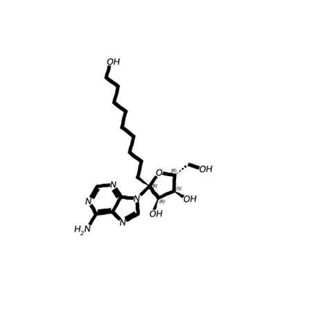 Nc1ncnc2c1ncn2[C@]1(CCCCCCCCCO)O[C@H](CO)[C@@H](O)[C@H]1O